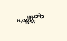 CN1CCC(Nc2c(C#N)cncc2C(=N)c2ccc(Oc3ccccc3)cc2)C1